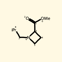 COC(=O)C1CCN1CC(C)C